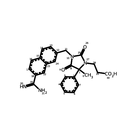 CC1(c2ccccc2)C(=O)N(Cc2ccc3ccc(C(=N)N)cc3c2)C(=O)N1CCC(=O)O